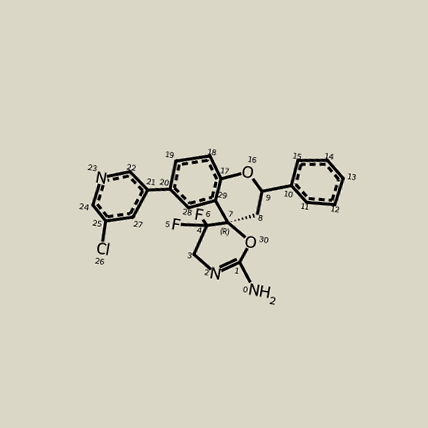 NC1=NCC(F)(F)[C@]2(CC(c3ccccc3)Oc3ccc(-c4cncc(Cl)c4)cc32)O1